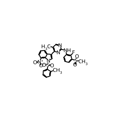 Cc1ccccc1S(=O)(=O)n1cc(-c2nc(Nc3cccc(S(C)(=O)=O)c3F)ncc2C)c2cccc([N+](=O)[O-])c21